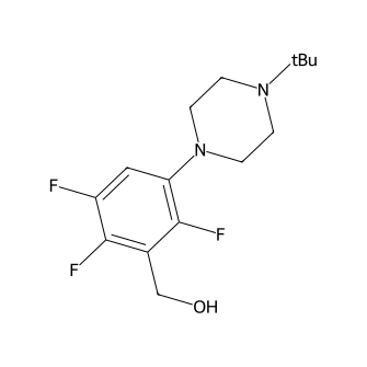 CC(C)(C)N1CCN(c2cc(F)c(F)c(CO)c2F)CC1